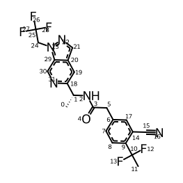 C[C@@H](NC(=O)Cc1ccc(C(C)(F)F)c(C#N)c1)c1cc2cnn(CC(F)(F)F)c2cn1